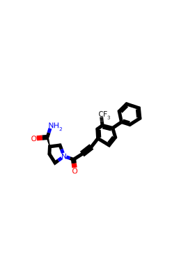 NC(=O)[C@@H]1CCN(C(=O)C#Cc2ccc(-c3ccccc3)c(C(F)(F)F)c2)C1